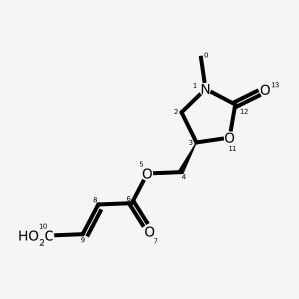 CN1C[C@H](COC(=O)C=CC(=O)O)OC1=O